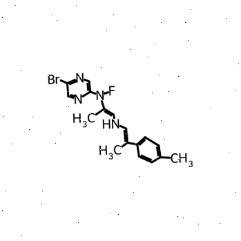 C/C(=C\N/C=C(\C)N(F)c1cnc(Br)cn1)c1ccc(C)cc1